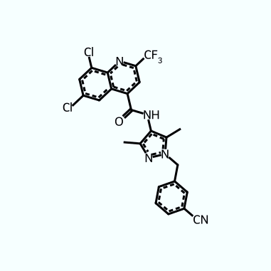 Cc1nn(Cc2cccc(C#N)c2)c(C)c1NC(=O)c1cc(C(F)(F)F)nc2c(Cl)cc(Cl)cc12